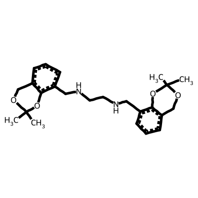 CC1(C)OCc2cccc(CNCCNCc3cccc4c3OC(C)(C)OC4)c2O1